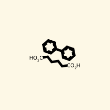 O=C(O)CCCCC(=O)O.c1ccc(-c2ccccc2)cc1